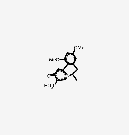 COc1cc2c(c(OC)c1)-c1cc(=O)c(C(=O)O)cn1C(C)C2